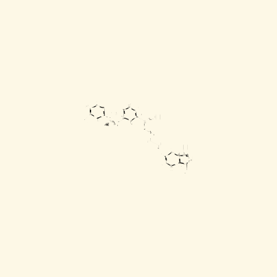 CCc1n[nH]c2cc(OCCNC[C@H](O)c3cccc(NS(=O)(=O)c4cccc(C)c4)c3)ccc12